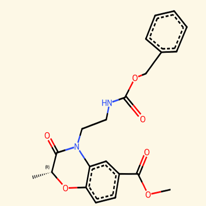 COC(=O)c1ccc2c(c1)N(CCNC(=O)OCc1ccccc1)C(=O)[C@@H](C)O2